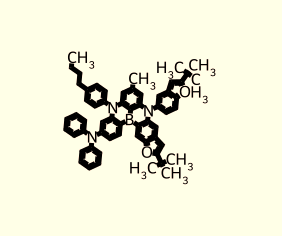 CCCCc1ccc(N2c3cc(N(c4ccccc4)c4ccccc4)ccc3B3c4cc5oc(C(C)(C)C)cc5cc4N(c4ccc5oc(C(C)(C)C)cc5c4)c4cc(C)cc2c43)cc1